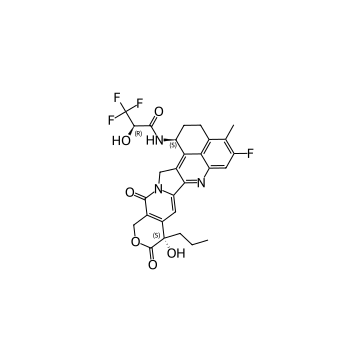 CCC[C@@]1(O)C(=O)OCc2c1cc1n(c2=O)Cc2c-1nc1cc(F)c(C)c3c1c2[C@@H](NC(=O)[C@@H](O)C(F)(F)F)CC3